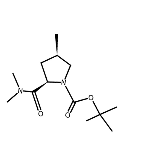 C[C@@H]1C[C@H](C(=O)N(C)C)N(C(=O)OC(C)(C)C)C1